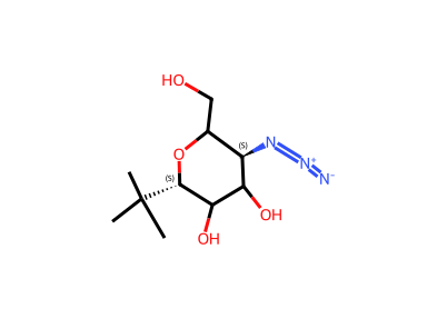 CC(C)(C)[C@@H]1OC(CO)[C@@H](N=[N+]=[N-])C(O)C1O